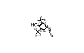 CC(C)(C)c1cc(N=C=S)cc(C(C)(C)C)c1O